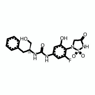 O=C1CN(c2c(O)cc(NC(=O)N[C@H](CO)Cc3ccccc3)cc2F)S(=O)(=O)N1